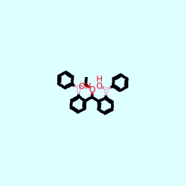 CCOC(c1ccccc1B(O)c1ccccc1)c1ccccc1B(O)c1ccccc1